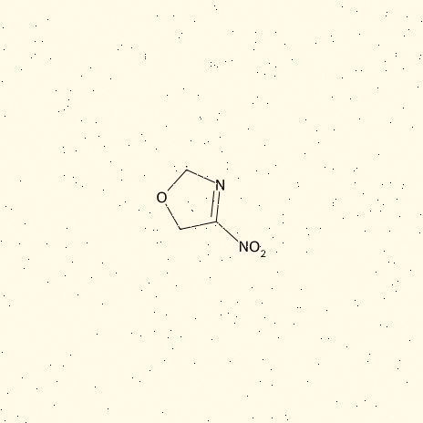 O=[N+]([O-])C1=N[CH]OC1